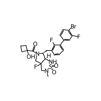 CN1CC2(F)CN(C(=O)C3(O)CCC3)[C@@H](Cc3cccc(-c4ccc(Br)c(F)c4)c3F)[C@H]2NS1(=O)=O